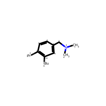 CC(C)c1ccc(CN(C)C)cc1C(C)(C)C